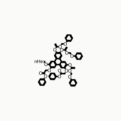 C=C(OCOc1ccccc1)Oc1cc2c(cc1OCC(=O)Oc1ccccc1)c1cc(OCC(=O)Oc3ccccc3)c(OCCCCCC)cc1c1cc(OC(=C)OCOc3ccccc3)c(OC(=C)OCOc3ccccc3)cc21